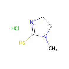 CN1CCN=C1S.Cl